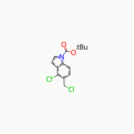 CC(C)(C)OC(=O)n1ccc2c(Cl)c(CCl)ccc21